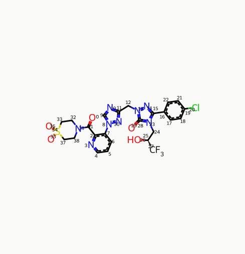 O=C(c1ncccc1-n1cnc(Cn2nc(-c3ccc(Cl)cc3)n(C[C@H](O)C(F)(F)F)c2=O)n1)N1CCS(=O)(=O)CC1